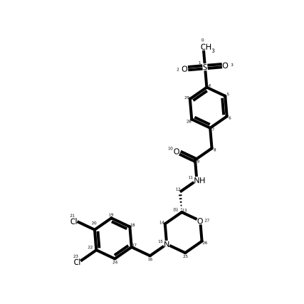 CS(=O)(=O)c1ccc(CC(=O)NC[C@H]2CN(Cc3ccc(Cl)c(Cl)c3)CCO2)cc1